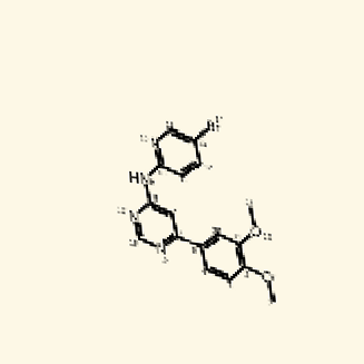 COc1ccc(-c2cc(Nc3ccc(Br)cn3)ncn2)cc1OC